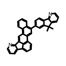 CC1(C)c2cc(-c3cc4c5cccc6c5c(cc4c4ccccc34)-c3ncccc3-6)ccc2-c2ncccc21